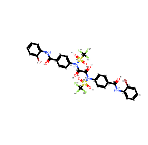 O=C(Nc1ccccc1Br)c1ccc(N(C(=O)C(=O)N(c2ccc(C(=O)Nc3ccccc3Br)cc2)S(=O)(=O)C(F)(F)F)S(=O)(=O)C(F)(F)F)cc1